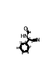 N#CC(NC=O)c1ccccc1